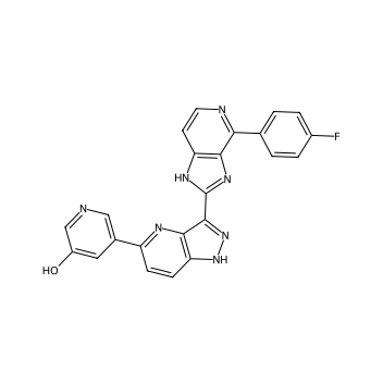 Oc1cncc(-c2ccc3[nH]nc(-c4nc5c(-c6ccc(F)cc6)nccc5[nH]4)c3n2)c1